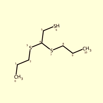 CCCSC(CS)SCCC